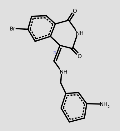 Nc1cccc(CN/C=C2\C(=O)NC(=O)c3ccc(Br)cc32)c1